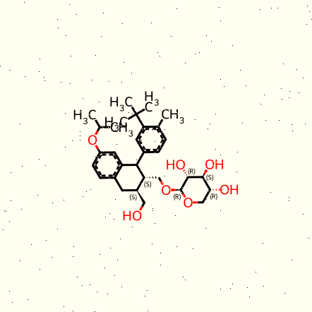 Cc1ccc(C2c3cc(OC(C)C)ccc3C[C@H](CO)[C@H]2CO[C@@H]2OC[C@@H](O)[C@H](O)[C@H]2O)cc1C(C)(C)C